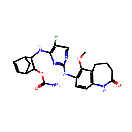 COc1c(Nc2ncc(Cl)c(NC3C4C=CC(C4)C3OC(N)=O)n2)ccc2c1CCCC(=O)N2